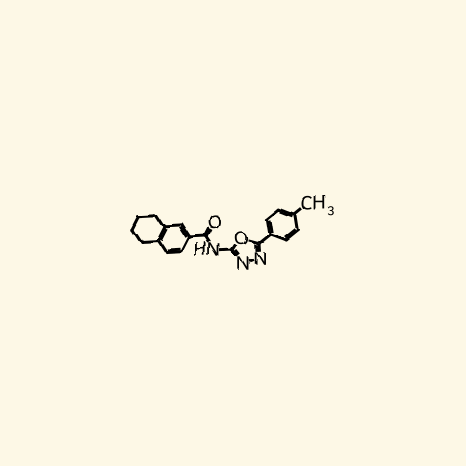 Cc1ccc(-c2nnc(NC(=O)c3ccc4c(c3)CCCC4)o2)cc1